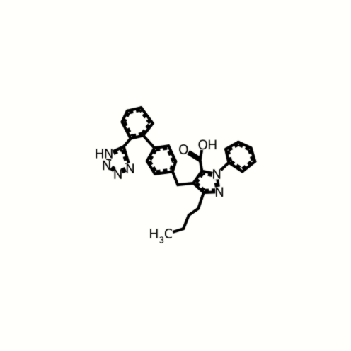 CCCCc1nn(-c2ccccc2)c(C(=O)O)c1Cc1ccc(-c2ccccc2-c2nnn[nH]2)cc1